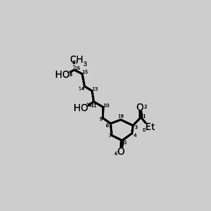 CCC(=O)C1CC(=O)CC(CCC(O)CCC[C@@H](C)O)C1